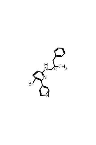 C[C@@H](CNc1ccc(Br)c(-c2ccncc2)n1)Cc1ccccc1